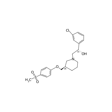 CS(=O)(=O)c1ccc(OC[C@@H]2CCCN(C[C@@H](O)c3cccc(Cl)c3)C2)cc1